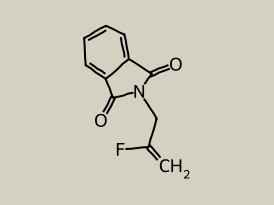 C=C(F)CN1C(=O)c2ccccc2C1=O